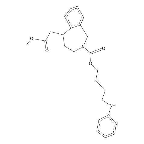 COC(=O)CC1CCN(C(=O)OCCCCNc2ccccn2)Cc2ccccc21